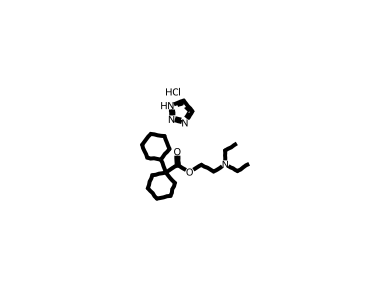 CCN(CC)CCOC(=O)C1(C2CCCCC2)CCCCC1.Cl.c1c[nH]nn1